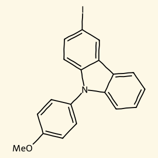 COc1ccc(-n2c3ccccc3c3cc(I)ccc32)cc1